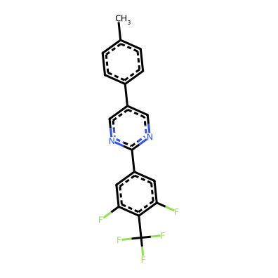 Cc1ccc(-c2cnc(-c3cc(F)c(C(F)(F)F)c(F)c3)nc2)cc1